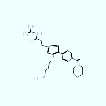 COCCCOc1cc(CCC(=O)NC(=N)N)ccc1-c1ccc(C(=O)N2CCCCC2)cc1